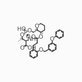 C[C@H](OP(=O)(O)OC[C@H]1OCCC[C@@H]1OC(=O)CCc1ccccc1OCc1cccc(Oc2ccccc2)c1)C(N)C(=O)O